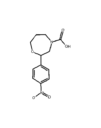 O=C(O)N1CCCOC(c2ccc([N+](=O)[O-])cc2)C1